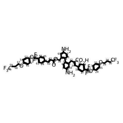 Nc1ccc(-c2ccc(N)cc2CC(=Cc2ccc(C(F)(F)Oc3ccc(OCCCC(F)(F)F)cc3)cc2)C(=O)O)c(COC(=O)C=Cc2ccc(C(F)(F)Oc3ccc(OCCCC(F)(F)F)cc3)cc2)c1